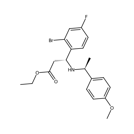 CCOC(=O)C[C@@H](N[C@@H](C)c1ccc(OC)cc1)c1ccc(F)cc1Br